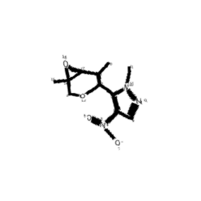 CC1C(c2c([N+](=O)[O-])cnn2C)OCC2(C)OC12